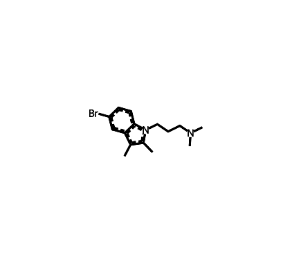 Cc1c(C)n(CCCN(C)C)c2ccc(Br)cc12